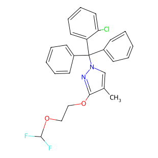 Cc1cn(C(c2ccccc2)(c2ccccc2)c2ccccc2Cl)nc1OCCOC(F)F